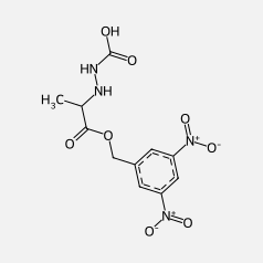 CC(NNC(=O)O)C(=O)OCc1cc([N+](=O)[O-])cc([N+](=O)[O-])c1